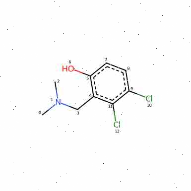 CN(C)Cc1c(O)ccc(Cl)c1Cl